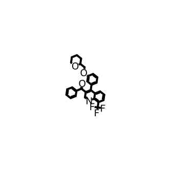 O=C(c1ccccc1)c1cnc2c(C(F)(F)F)cccc2c1-c1cccc(OCC2CCCCO2)c1